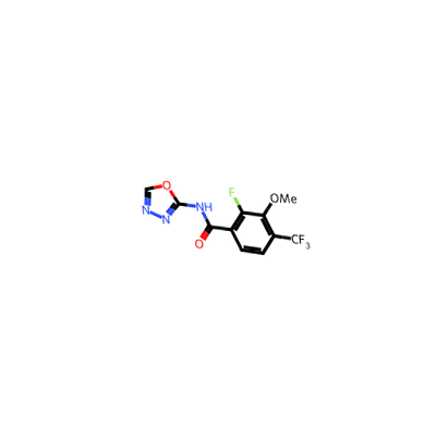 COc1c(C(F)(F)F)ccc(C(=O)Nc2nnco2)c1F